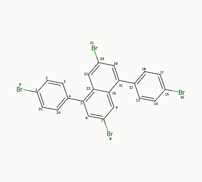 Brc1ccc(-c2cc(Br)cc3c(-c4ccc(Br)cc4)cc(Br)cc23)cc1